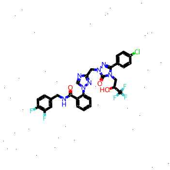 O=C(NCc1ccc(F)c(F)c1)c1ccccc1-n1cnc(Cn2nc(-c3ccc(Cl)cc3)n(CC(O)C(F)(F)F)c2=O)n1